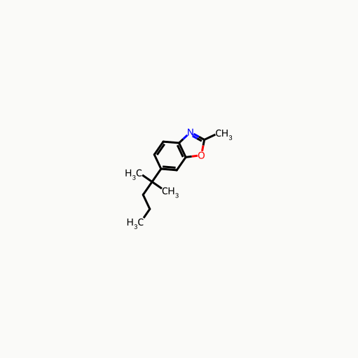 CCCC(C)(C)c1ccc2nc(C)oc2c1